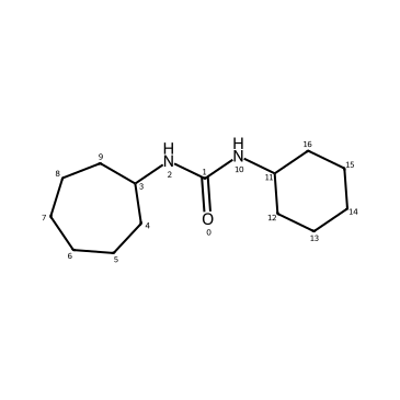 O=C(NC1CCCCCC1)NC1CCCCC1